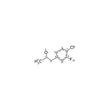 CC([O])Cc1ccc(Cl)c(F)c1